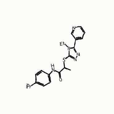 CCn1c(SC(C)C(=O)Nc2ccc(C(C)C)cc2)nnc1-c1cccnc1